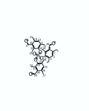 Cc1cc(C)c(OP(=O)(Oc2c(C)cc(C)c(C=O)c2C)Oc2c(C)cc(C)c(C=O)c2C)c(C)c1C=O